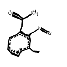 Cc1cccc(C(N)=O)c1N=O